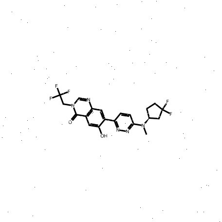 CN(c1ccc(-c2cc3ncn(CC(F)(F)F)c(=O)c3cc2O)nn1)[C@H]1CCC(F)(F)C1